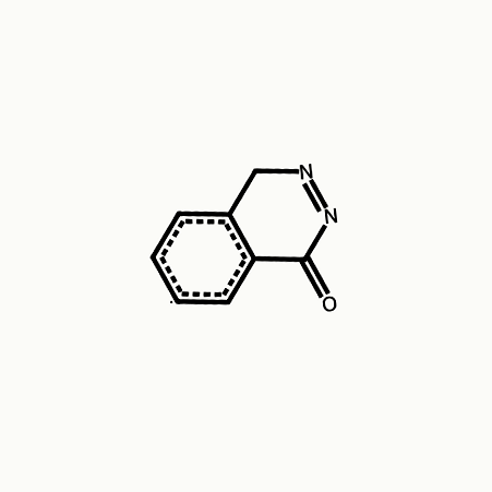 O=C1N=NCc2cc[c]cc21